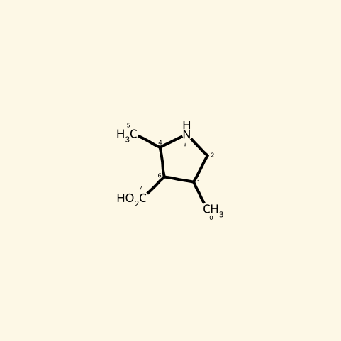 CC1CNC(C)C1C(=O)O